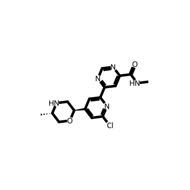 CNC(=O)c1cc(-c2cc([C@@H]3CN[C@@H](C)CO3)cc(Cl)n2)ncn1